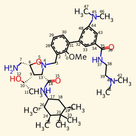 COc1c(CN2O[C@@H](CN)[C@@H]([C@H](C)O)[C@H]2C(=O)N[C@H]2C[C@@H](C)C(C)(C)[C@@H](C)[C@@H]2C)cccc1-c1cc(C(=O)NCCN(C)C)cc(N(C)C)c1